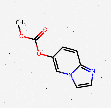 COC(=O)Oc1ccc2nccn2c1